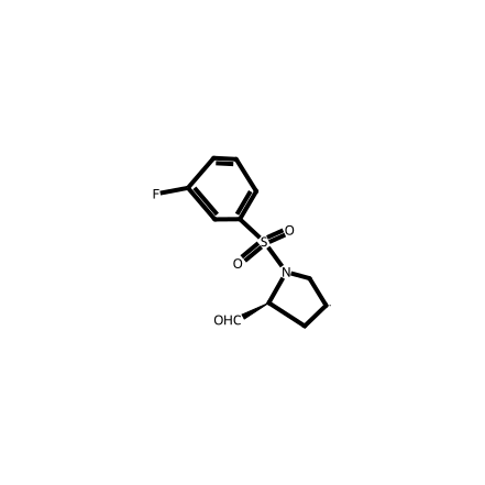 O=C[C@@H]1C[CH]CN1S(=O)(=O)c1cccc(F)c1